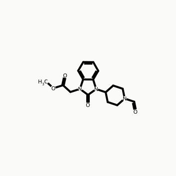 COC(=O)Cn1c(=O)n(C2CCN(C=O)CC2)c2ccccc21